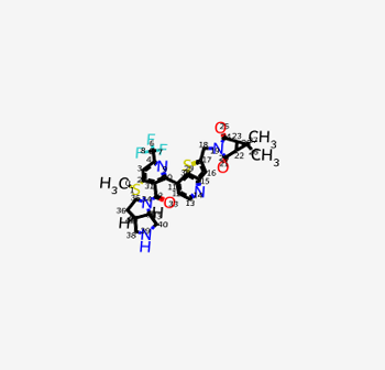 CSc1cc(C(F)(F)F)nc(-c2ccnc3cc(CN4C(=O)C5C(C4=O)C5(C)C)sc23)c1C(=O)N1CC[C@@H]2CNC[C@@H]21